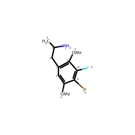 COc1cc(CC(C)N)c(OC)c(F)c1Br